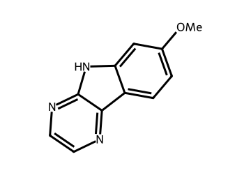 COc1ccc2c(c1)[nH]c1nccnc12